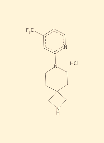 Cl.FC(F)(F)c1ccnc(N2CCC3(CC2)CNC3)c1